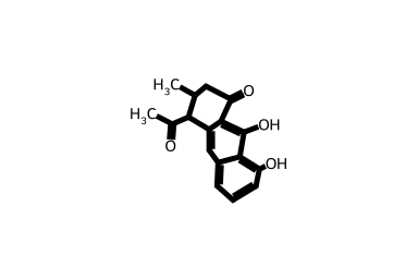 CC(=O)C1c2cc3cccc(O)c3c(O)c2C(=O)CC1C